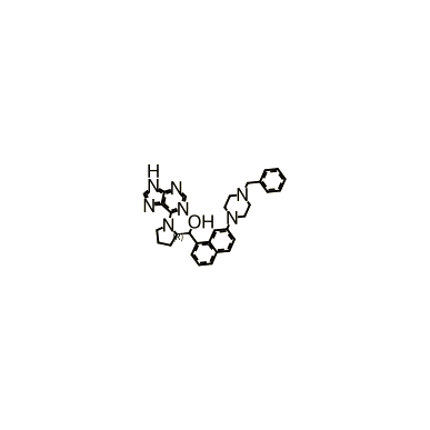 OC(c1cccc2ccc(N3CCN(Cc4ccccc4)CC3)cc12)[C@H]1CCCN1c1ncnc2[nH]cnc12